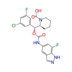 O=C(Nc1cc(F)c2[nH]ncc2c1)O[C@@H](c1cc(F)cc(Cl)c1)[C@@H]1CCCCN1C(=O)O